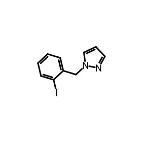 Ic1ccccc1Cn1cccn1